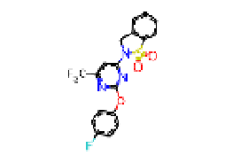 O=S1(=O)c2ccccc2CN1c1cc(C(F)(F)F)nc(Oc2ccc(F)cc2)n1